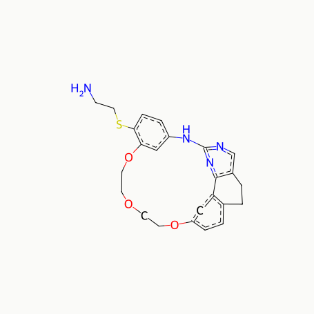 NCCSc1ccc2cc1OCCOCCOc1ccc3c(c1)-c1nc(ncc1CC3)N2